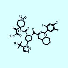 CC(C)(O)c1cnnn1[C@H]1C[C@@H](C(=O)NC2(C(=O)C(N)=O)CCS(=O)(=O)CC2)N(C(=O)/C(CC2CCCCC2)=N/C(=O)c2cc(F)c(Cl)cc2F)C1